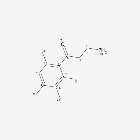 Cc1cc(C)c(C(=O)CCP)c(C)c1C